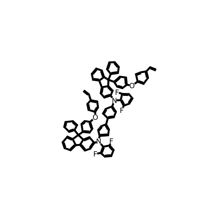 C=Cc1ccc(Oc2ccc(C3(c4ccccc4)c4ccccc4-c4ccc(N(c5ccc(-c6ccc(N(c7ccc8c(c7)C(c7ccccc7)(c7ccc(Oc9ccc(C=C)cc9)cc7)c7ccccc7-8)c7c(F)cccc7F)cc6)cc5)c5c(F)cccc5F)cc43)cc2)cc1